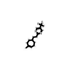 CC1=CCCC(CCc2ncc(C(F)(F)F)cn2)CC1